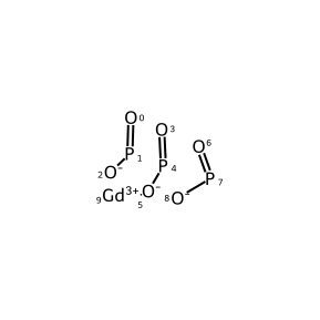 O=P[O-].O=P[O-].O=P[O-].[Gd+3]